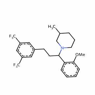 COc1ccccc1C([CH]Cc1cc(C(F)(F)F)cc(C(F)(F)F)c1)N1CCCC(C)C1